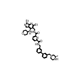 CCc1nc2c(cnn2CC)c(NC2CCOCC2)c1CNC(=O)c1cccc(C(=O)NCc2cccc(-c3cccc(CN4CCN[C@H](C)C4)c3)c2)n1